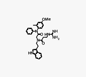 COc1ccc(N(C(=O)CN(CCc2c[nH]c3ccccc23)C(=O)CCNC(=N)N)c2ccccc2)c(C)c1